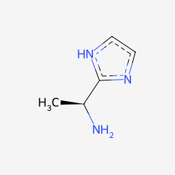 C[C@H](N)c1ncc[nH]1